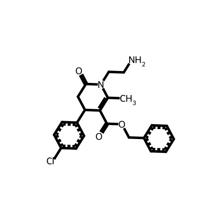 CC1=C(C(=O)OCc2ccccc2)C(c2ccc(Cl)cc2)CC(=O)N1CCN